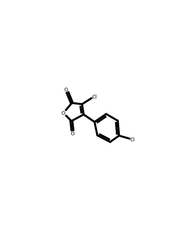 O=C1OC(=O)C(c2ccc(Cl)cc2)=C1Cl